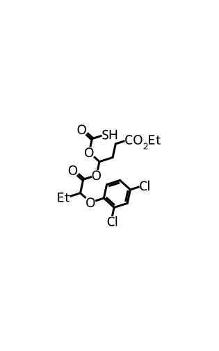 CCOC(=O)CCC(OC(=O)S)OC(=O)C(CC)Oc1ccc(Cl)cc1Cl